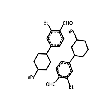 CCCC1CCC(c2ccc(C=O)c(CC)c2)CC1.CCCC1CCCC(c2ccc(C=O)c(CC)c2)C1